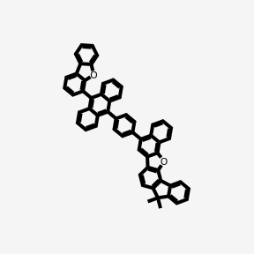 CC1(C)c2ccccc2-c2c1ccc1c2oc2c3ccccc3c(-c3ccc(-c4c5ccccc5c(-c5cccc6c5oc5ccccc56)c5ccccc45)cc3)cc12